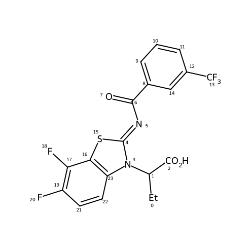 CCC(C(=O)O)n1c(=NC(=O)c2cccc(C(F)(F)F)c2)sc2c(F)c(F)ccc21